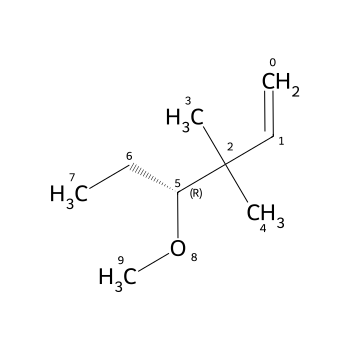 C=CC(C)(C)[C@@H](CC)OC